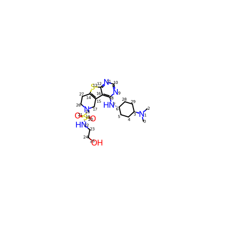 CN(C)[C@H]1CC[C@H](Nc2ncnc3sc4c(c23)CN(S(=O)(=O)NCCO)CC4)CC1